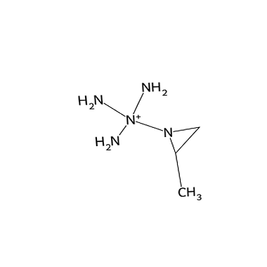 CC1CN1[N+](N)(N)N